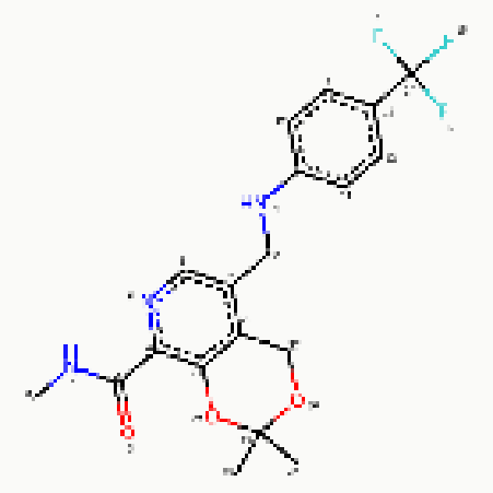 CNC(=O)c1ncc(CNc2ccc(C(F)(F)F)cc2)c2c1OC(C)(C)OC2